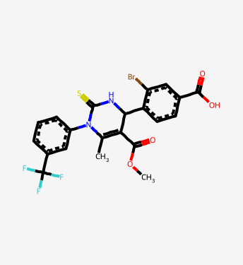 COC(=O)C1=C(C)N(c2cccc(C(F)(F)F)c2)C(=S)NC1c1ccc(C(=O)O)cc1Br